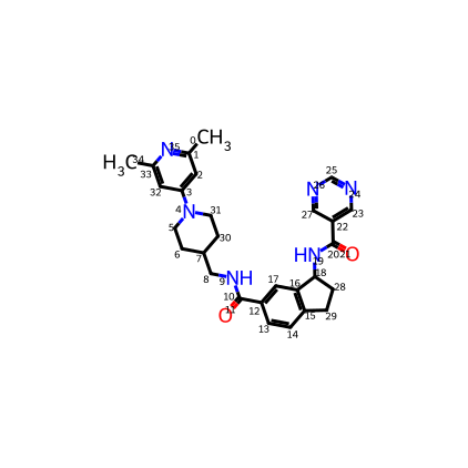 Cc1cc(N2CCC(CNC(=O)c3ccc4c(c3)C(NC(=O)c3cncnc3)CC4)CC2)cc(C)n1